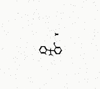 NC(=S)N/N=C/c1ccccc1C1(Cl)c2ccccc2SC1C(=O)O